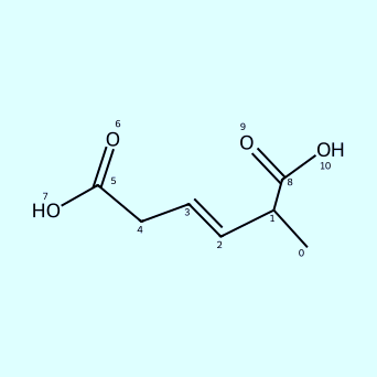 CC(/C=C/CC(=O)O)C(=O)O